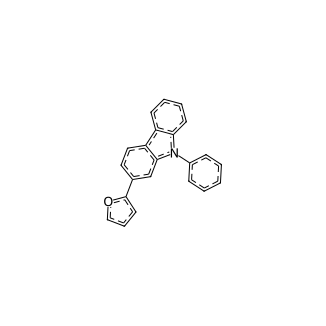 c1ccc(-n2c3ccccc3c3ccc(-c4ccco4)cc32)cc1